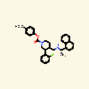 C[C@@H](NCC1CCN(C(=O)Oc2ccc(C(=O)O)cc2)CC1c1ccccc1F)c1cccc2ccccc12